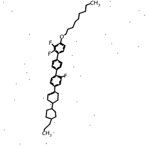 CCCCCCCCCOc1ccc(-c2ccc(-c3ccc(C4=CCC(C5CCC(CCC)CC5)CC4)cc3F)cc2)c(F)c1F